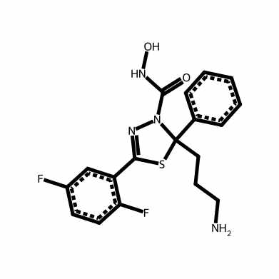 NCCCC1(c2ccccc2)SC(c2cc(F)ccc2F)=NN1C(=O)NO